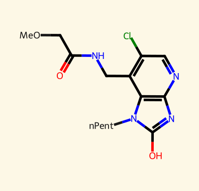 CCCCCn1c(O)nc2ncc(Cl)c(CNC(=O)COC)c21